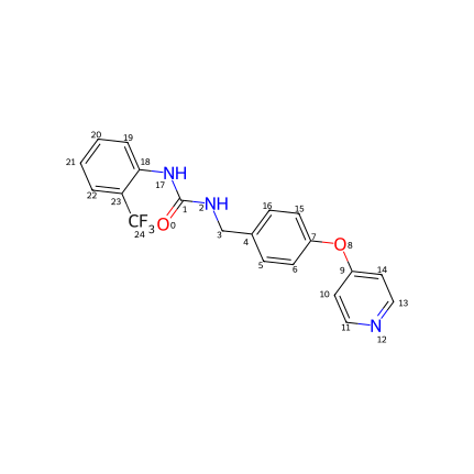 O=C(NCc1ccc(Oc2ccncc2)cc1)Nc1ccccc1C(F)(F)F